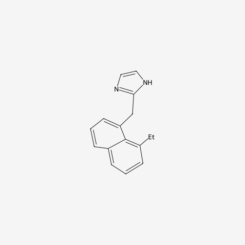 CCc1cccc2cccc(Cc3ncc[nH]3)c12